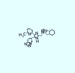 Cc1cccc(-c2nc(CN(C3Cc4ccccc4C3)C(C)(C)C)[nH]c2-c2ccc3ncnn3c2)n1